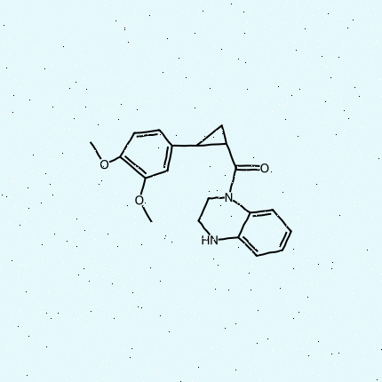 COc1ccc(C2CC2C(=O)N2CCNc3ccccc32)cc1OC